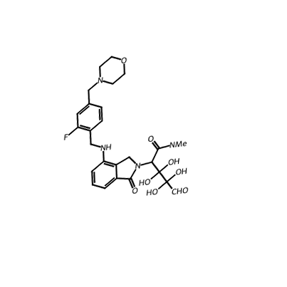 CNC(=O)C(N1Cc2c(NCc3ccc(CN4CCOCC4)cc3F)cccc2C1=O)C(O)(O)C(O)(O)C=O